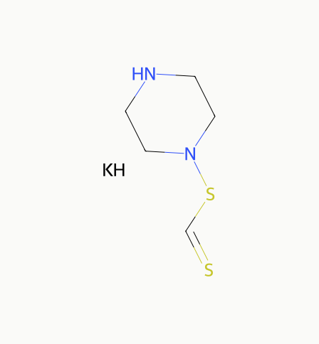 S=CSN1CCNCC1.[KH]